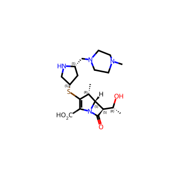 C[C@@H](O)[C@H]1C(=O)N2C(C(=O)O)=C(S[C@@H]3CN[C@H](CN4CCN(C)CC4)C3)[C@H](C)[C@H]12